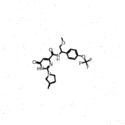 COCC(NC(=O)c1cc(=O)[nH]c(N2CCC(C)C2)n1)c1ccc(OC(F)(F)F)cc1